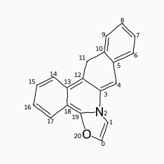 C1=CN2C3=Cc4ccccc4CC3=c3ccccc3=C2O1